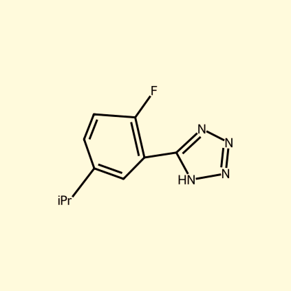 CC(C)c1ccc(F)c(-c2nnn[nH]2)c1